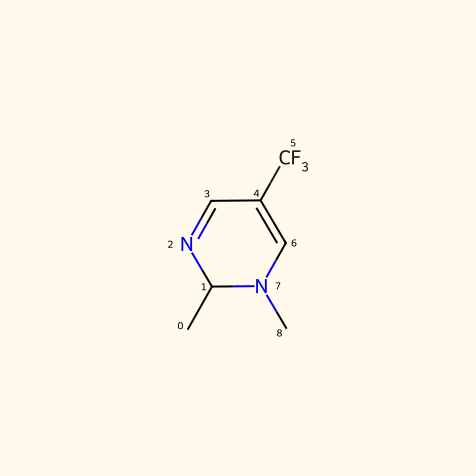 CC1N=CC(C(F)(F)F)=CN1C